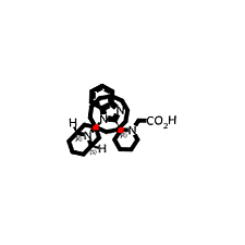 O=C(O)CN1CCCC[C@@H]1c1nc2ccccc2n1[C@@H]1C[C@H]2CCC[C@@H](C1)N2C1CCCCCCCCC1